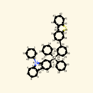 c1ccc(-n2c3ccccc3c3ccc([Si](c4ccccc4)(c4ccccc4)c4cccc(-c5ccc6c(c5)sc5ccccc56)c4)cc32)cc1